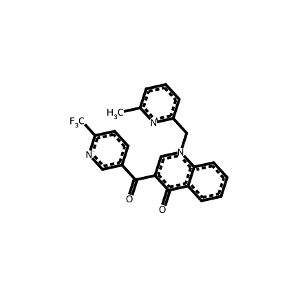 Cc1cccc(Cn2cc(C(=O)c3ccc(C(F)(F)F)nc3)c(=O)c3ccccc32)n1